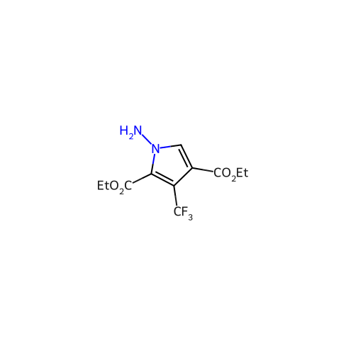 CCOC(=O)c1cn(N)c(C(=O)OCC)c1C(F)(F)F